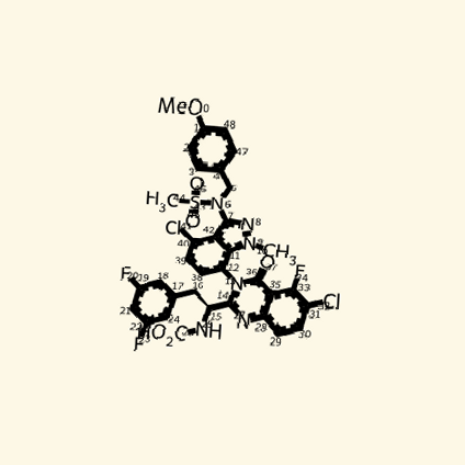 COc1ccc(CN(c2nn(C)c3c(-n4c([C@H](Cc5cc(F)cc(F)c5)NC(=O)O)nc5ccc(Cl)c(F)c5c4=O)ccc(Cl)c23)S(C)(=O)=O)cc1